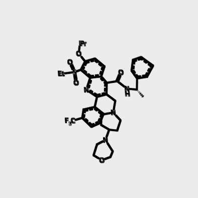 CCS(=O)(=O)c1c(OC(C)C)ccc2c(C(=O)N[C@@H](C)c3ccccc3)c(CN3CCC(N4CCOCC4)CC3)c(-c3cccc(C(F)(F)F)c3)nc12